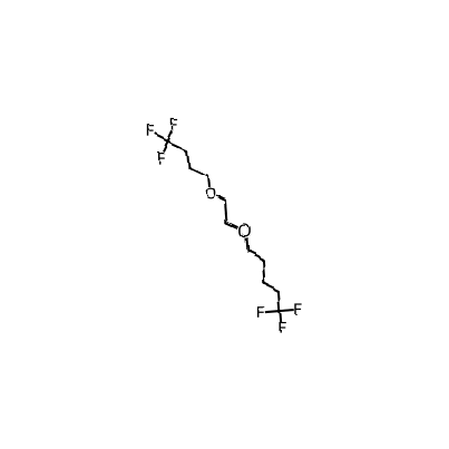 FC(F)(F)CCCCOCCOCCCC(F)(F)F